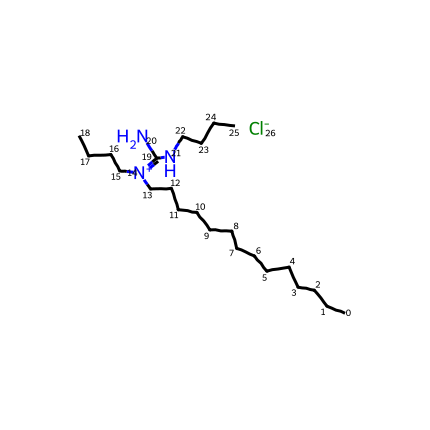 CCCCCCCCCCCCCC[N+](CCCC)=C(N)NCCCC.[Cl-]